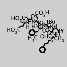 Cc1ccccc1C[C@H](NC(=O)[C@H](CCC(=O)O)NC(=O)[C@H](CC(=O)O)NC(=O)CCC(=O)O)C(=O)N[C@H](C(=O)N[C@@H](CC(C)C)C(=O)N[C@@](C)(C=O)SCCCc1ccccc1)C(C)(C)C